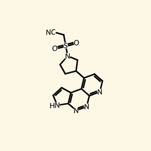 N#CCS(=O)(=O)N1CCC(c2ccnc3nnc4[nH]ccc4c23)C1